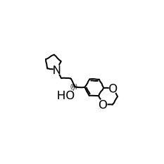 O[C@H](CCN1CCCC1)C1=CC2OCCOC2C=C1